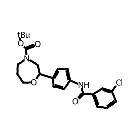 CC(C)(C)OC(=O)N1CCCOC(c2ccc(NC(=O)c3cccc(Cl)c3)cc2)C1